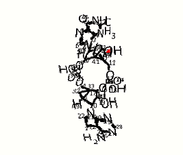 Cc1nc2c(ncn2[C@@H]2O[C@@H]3COP(=O)(O)O[C@H]4[C@@H](O)[C@H](n5ccc6c(N)ncnc65)[C@H]5CC54COP(=O)(O)O[C@@H]2[C@@H]3CO)c(=O)[nH]1